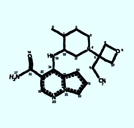 CC1CCN(C2(CC#N)COC2)CC1Nc1c(C(N)=O)cnn2cccc12